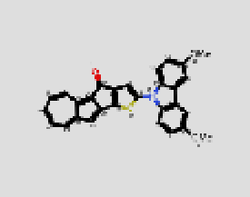 COc1ccc2c(c1)c1cc(OC)ccc1n2-c1cc2c(s1)-c1cc3cccccc-3c1C2=O